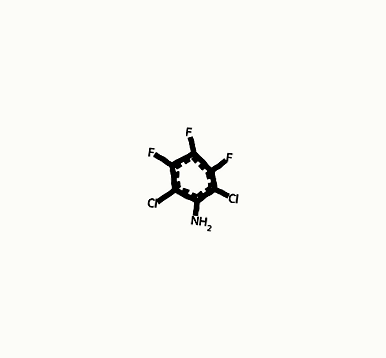 Nc1c(Cl)c(F)c(F)c(F)c1Cl